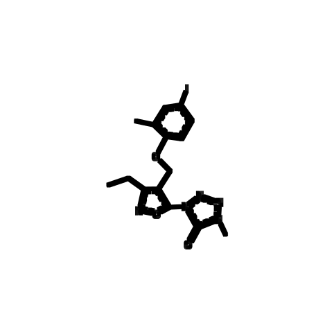 CCc1noc(-n2nnn(C)c2=O)c1COc1ccc(I)cc1C